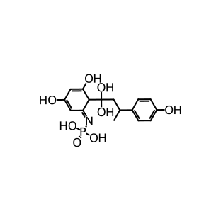 CC(CC(O)(O)C1C(O)=CC(O)=C/C1=N\P(=O)(O)O)c1ccc(O)cc1